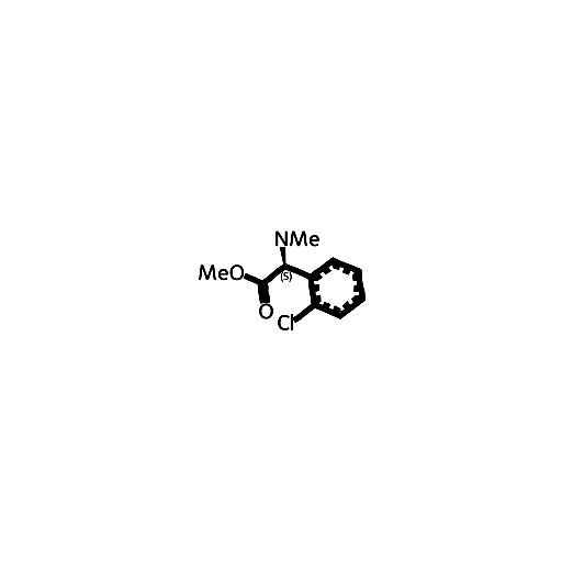 CN[C@H](C(=O)OC)c1ccccc1Cl